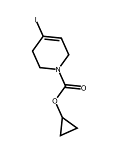 O=C(OC1CC1)N1CC=C(I)CC1